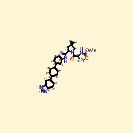 COC(=O)NC(C(=O)N1CC2(CC2)CC1c1nc2ccc(-c3ccc(-c4ccc5nc[nH]c5c4)cc3)cc2[nH]1)C(C)C